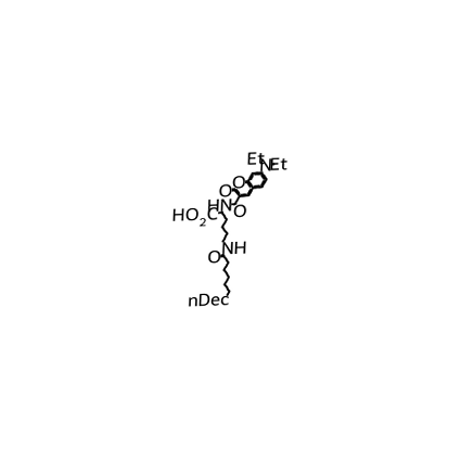 CCCCCCCCCCCCCCCC(=O)NCCCCC(NC(=O)c1cc2ccc(N(CC)CC)cc2oc1=O)C(=O)O